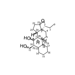 CCC[C@]12CC[C@H]3[C@@H]([C@H](O)[C@H](CO)C4CCCC[C@@]43C)[C@@H]1CCC2=O